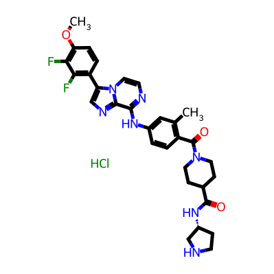 COc1ccc(-c2cnc3c(Nc4ccc(C(=O)N5CCC(C(=O)N[C@@H]6CCNC6)CC5)c(C)c4)nccn23)c(F)c1F.Cl